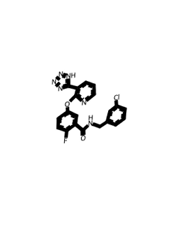 O=C(NCc1cccc(Cl)c1)c1cc(Oc2ncccc2-c2nnn[nH]2)ccc1F